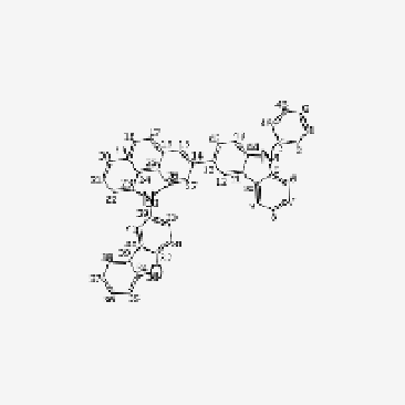 c1ccc(-n2c3ccccc3c3cc(-c4cc5ccc6cccc7c6c5c(c4)n7-c4ccc5oc6ccccc6c5c4)ccc32)cc1